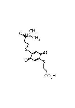 C[SH](C)C(=O)CCSC1=CC(=O)C(SCCC(=O)O)=CC1=O